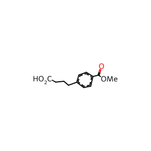 COC(=O)c1ccc(CCCC(=O)O)cc1